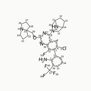 Nc1c(-c2c(Cl)cc3c(N4CC5CCC(C4)N5)nc(OCC45CCCN4CCC5)nc3c2F)cccc1C(F)(F)F